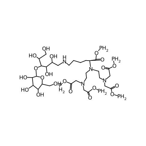 O=C(CN(CCN(CCN(CC(=O)OP)CC(=O)OP)C(CCCCNCC(O)C(O)C(OC1OC(CO)C(O)C(O)C1O)C(O)CO)C(=O)OP)CC(=O)OP)OP